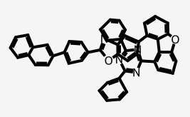 c1ccc(-c2nc(-c3ccccc3)nc(-c3cccc4oc5cccc(-c6ccc7oc(-c8ccc(-c9ccc%10ccccc%10c9)cc8)nc7c6)c5c34)n2)cc1